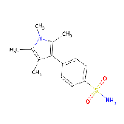 Cc1c(-c2ccc(S(N)(=O)=O)cc2)c(C)n(C)c1C